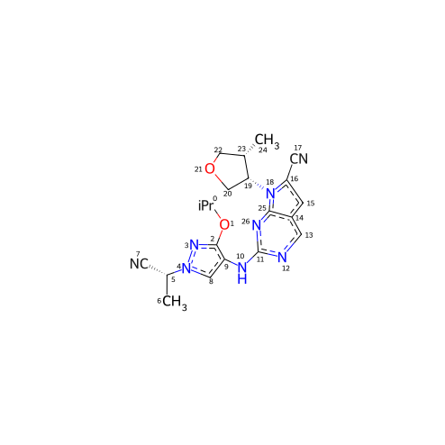 CC(C)Oc1nn([C@H](C)C#N)cc1Nc1ncc2cc(C#N)n([C@@H]3COC[C@@H]3C)c2n1